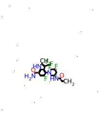 C=CC(=O)N[C@H]1C[C@H](F)CN(c2c(F)cc(C(N)=O)c3[nH]c(C)c(C(F)(F)F)c23)C1